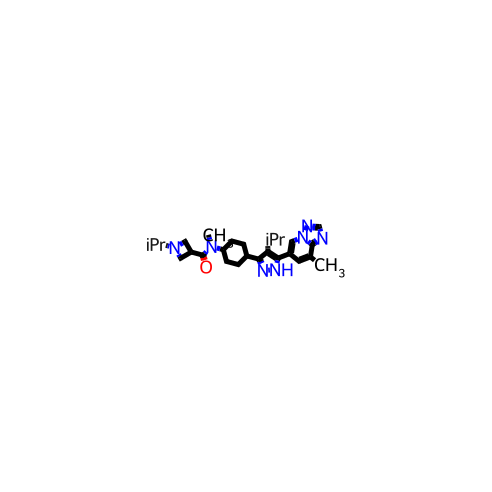 Cc1cc(-c2[nH]nc(C3CCC(N(C)C(=O)C4CN(C(C)C)C4)CC3)c2C(C)C)cn2ncnc12